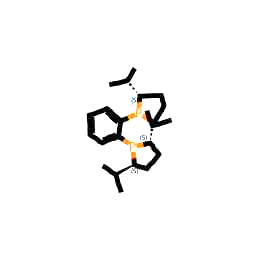 CC(C)[C@@H]1CCCP1c1ccccc1P1[C@H](C(C)C)CC[C@H]1C(C)C